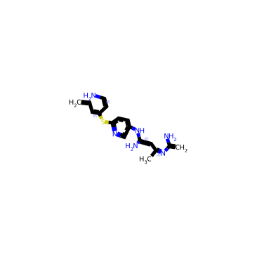 C=C/C=C(\C=C/N)Sc1ccc(N/C(N)=C/C(C)=N\C(=C)N)cn1